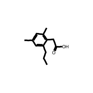 CCCc1cc(C)cc(C)c1CC(=O)O